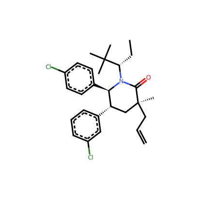 C=CC[C@@]1(C)C[C@H](c2cccc(Cl)c2)[C@@H](c2ccc(Cl)cc2)N([C@@H](CC)C(C)(C)C)C1=O